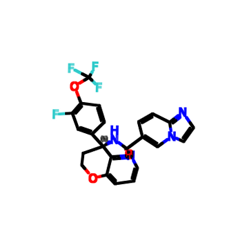 O=C(N[C@]1(c2ccc(OC(F)(F)F)c(F)c2)CCOc2cccnc21)c1ccc2nccn2c1